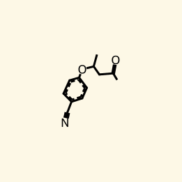 CC(=O)CC(C)Oc1ccc(C#N)cc1